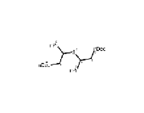 CCCCCCCCCCCC(CCC)SC(CCC)CCCCCCCCCCC